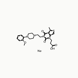 COc1ccccc1N1CCN(CCn2c(=O)c3c(C)scc3n(CCC(=O)O)c2=O)CC1.[Na]